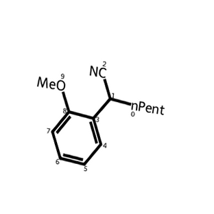 CCCCCC(C#N)c1ccccc1OC